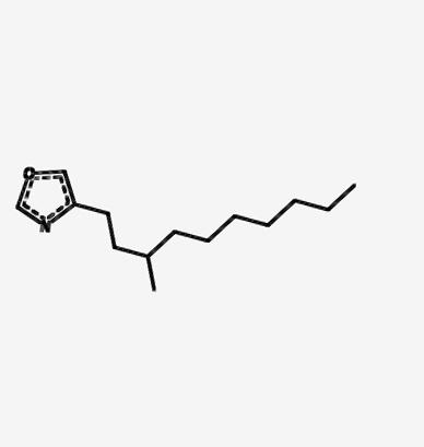 CCCCCCCC(C)CCc1cocn1